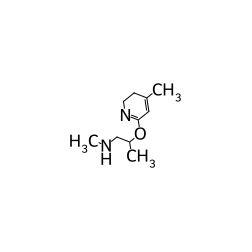 CNCC(C)OC1=NCCC(C)=C1